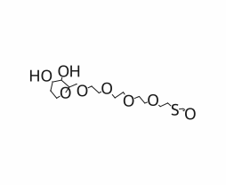 O=CSCCOCCOCCOCCOCC1OCCC(O)C1O